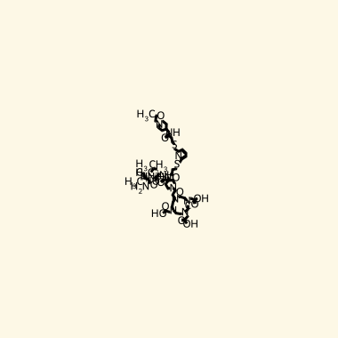 CC[C@H](C)[C@H](NC(=O)[C@H](CC(C)C)NC(=O)C1(NC(=O)CCSCc2cccc(CSCCC(=O)NC3CCN(CC(C)=O)CC3)n2)CCN(C(=O)CN2CCN(CC(=O)O)CCN(CC(=O)O)CCN(CC(=O)O)CC2)CC1)C(N)=O